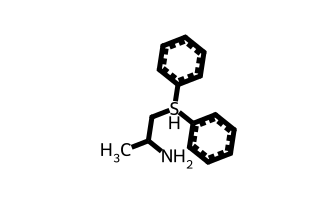 CC(N)C[SH](c1ccccc1)c1ccccc1